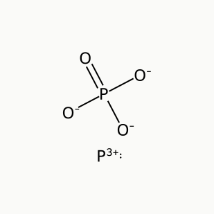 O=P([O-])([O-])[O-].[P+3]